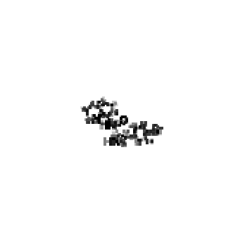 O=C(Nc1cccc2cccnc12)[C@H]1NC[C@@H]1c1ccc(Br)cc1